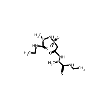 CCNC(=S)N(C)NC(=O)CS(=O)(=O)NN(C)C(=S)NCC